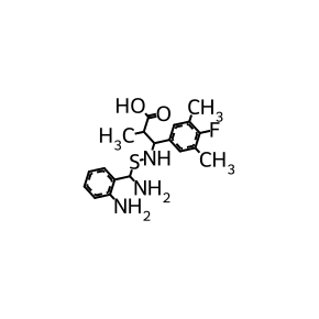 Cc1cc(C(NSC(N)c2ccccc2N)C(C)C(=O)O)cc(C)c1F